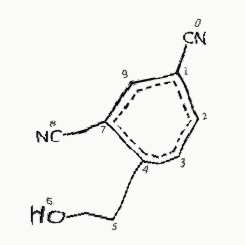 N#Cc1ccc(CO)c(C#N)c1